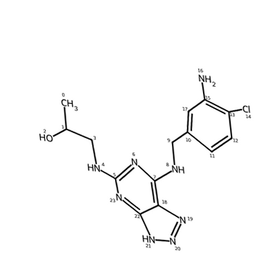 CC(O)CNc1nc(NCc2ccc(Cl)c(N)c2)c2nn[nH]c2n1